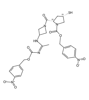 CC(=NC(=O)OCc1ccc([N+](=O)[O-])cc1)NC1CN(C(=O)[C@@H]2C[C@H](S)CN2C(=O)OCc2ccc([N+](=O)[O-])cc2)C1